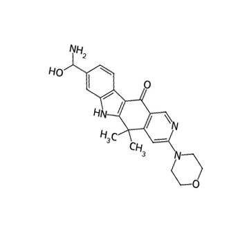 CC1(C)c2cc(N3CCOCC3)ncc2C(=O)c2c1[nH]c1cc(C(N)O)ccc21